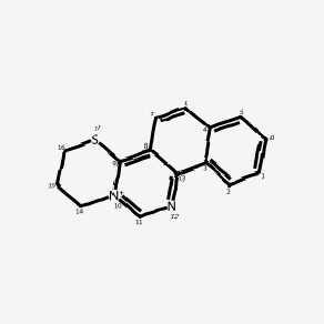 c1ccc2c(c1)ccc1c3[n+](cnc12)CCCS3